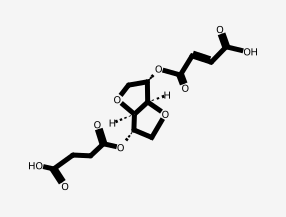 O=C(O)/C=C/C(=O)O[C@H]1CO[C@H]2[C@@H]1OC[C@@H]2OC(=O)CCC(=O)O